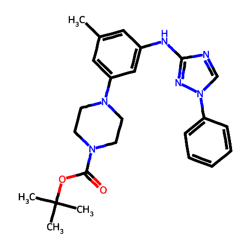 Cc1cc(Nc2ncn(-c3ccccc3)n2)cc(N2CCN(C(=O)OC(C)(C)C)CC2)c1